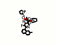 Cc1ccc2cccc(-c3ncc4c(N5CC6CCC(C5)N6C(=O)OC(C)(C)C)nc(OC[C@@H]5CCCN5C)nc4c3F)c2c1